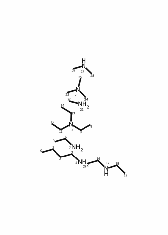 CCCCN.CCN.CCN(CC)CC.CCNCC.CN.CN(C)C.CNC